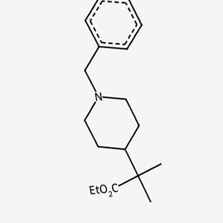 CCOC(=O)C(C)(C)C1CCN(Cc2ccccc2)CC1